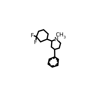 CN1CCC(c2ccccc2)CC1C1CCCC(F)(F)C1